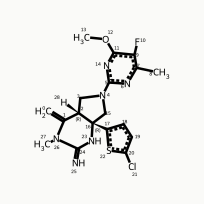 C=C1[C@@H]2CN(c3nc(C)c(F)c(OC)n3)C[C@]2(c2ccc(Cl)s2)NC(=N)N1C